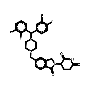 O=C1CCC(N2Cc3cc(CN4CCN(C(c5ccc(F)c(F)c5)c5cccc(F)c5F)CC4)ccc3C2=O)C(=O)N1